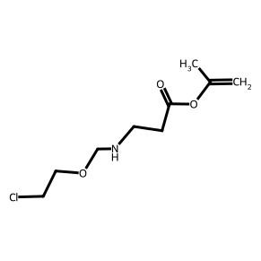 C=C(C)OC(=O)CCNCOCCCl